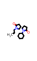 C=CCN1CCCC1=O.O=C1CCCN1C1CCCCC1